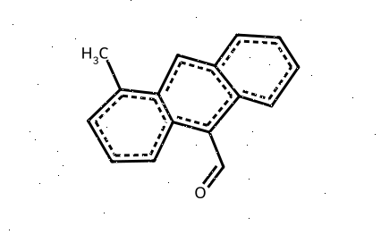 Cc1cccc2c(C=O)c3ccccc3cc12